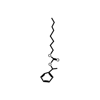 CCCCCCCCOC(=O)OC(C)c1ccccc1